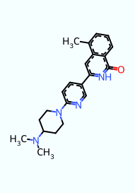 Cc1cccc2c(=O)[nH]c(-c3ccc(N4CCC(N(C)C)CC4)nc3)cc12